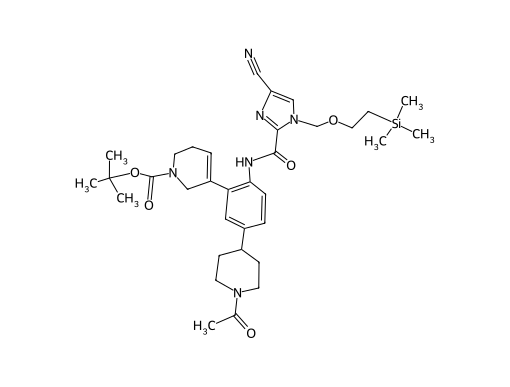 CC(=O)N1CCC(c2ccc(NC(=O)c3nc(C#N)cn3COCC[Si](C)(C)C)c(C3=CCCN(C(=O)OC(C)(C)C)C3)c2)CC1